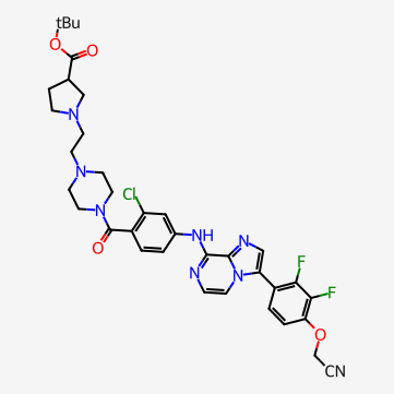 CC(C)(C)OC(=O)C1CCN(CCN2CCN(C(=O)c3ccc(Nc4nccn5c(-c6ccc(OCC#N)c(F)c6F)cnc45)cc3Cl)CC2)C1